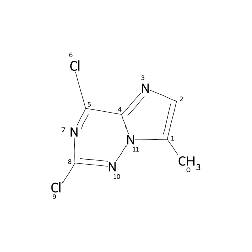 Cc1cnc2c(Cl)nc(Cl)nn12